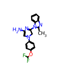 Cc1nc2ccccc2n1C1=NC(N)=CN(c2ccc(OC(F)F)cc2)C1